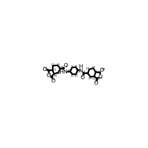 O=C(NC1CCC(NC(=O)C2CCC3C(=O)OC(=O)C3C2)CC1)C1CCC2C(=O)OC(=O)C2C1